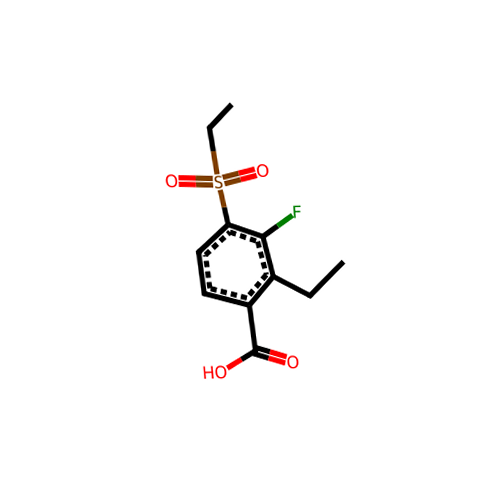 CCc1c(C(=O)O)ccc(S(=O)(=O)CC)c1F